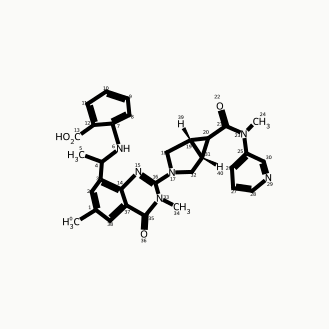 Cc1cc(C(C)Nc2ccccc2C(=O)O)c2nc(N3C[C@@H]4C(C(=O)N(C)c5cccnc5)[C@@H]4C3)n(C)c(=O)c2c1